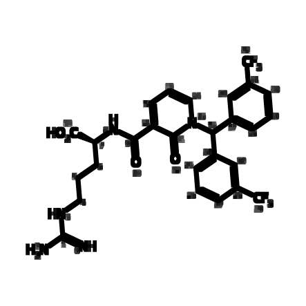 N=C(N)NCCC[C@H](NC(=O)c1cccn(C(c2cccc(C(F)(F)F)c2)c2cccc(C(F)(F)F)c2)c1=O)C(=O)O